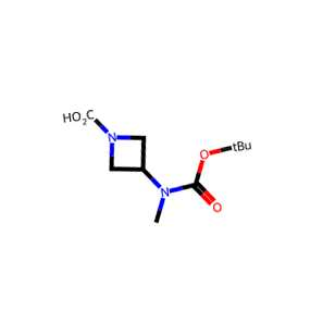 CN(C(=O)OC(C)(C)C)C1CN(C(=O)O)C1